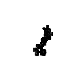 Cc1nc(NS(=O)(=O)c2ccc(NC=C3C(=O)NC(=O)c4ccccc43)cc2)oc1C